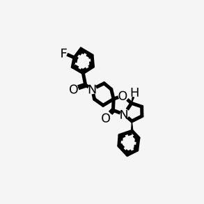 O=C(c1cccc(F)c1)N1CCC2(CC1)O[C@@H]1CC[C@@H](c3ccccc3)N1C2=O